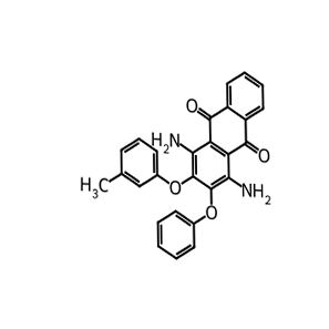 Cc1cccc(Oc2c(N)c3c(c(N)c2Oc2ccccc2)C(=O)c2ccccc2C3=O)c1